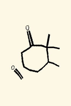 C=O.CC1CCCC(=O)C1(C)C